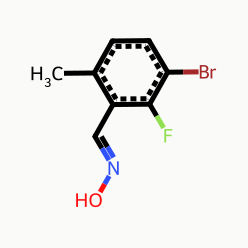 Cc1ccc(Br)c(F)c1C=NO